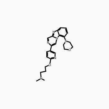 CN(C)CCCOc1ccc(-c2cn3c(cn2)nc2cccc(N4CCOCC4)c23)cn1